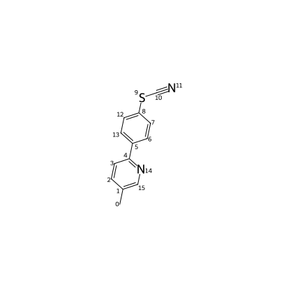 Cc1ccc(-c2ccc(SC#N)cc2)nc1